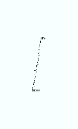 CCCCCCCCCCCCCCCCCC[CH]CCCCCCCCCCCCCCC(C)C